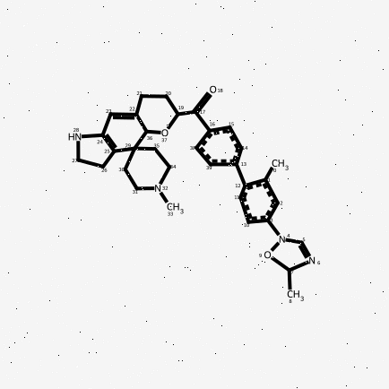 Cc1cc(N2C=NC(C)O2)ccc1-c1ccc(C(=O)C2CCC3=CC4=C(CCN4)C4(CCN(C)CC4)C3O2)cc1